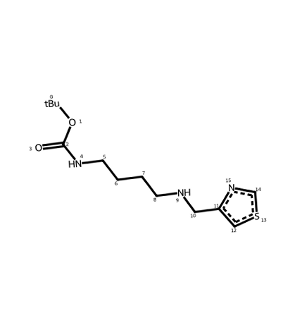 CC(C)(C)OC(=O)NCCCCNCc1cscn1